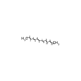 CC=CC=CC=CC=CC=CC=CC